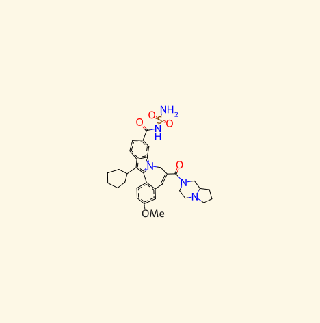 COc1ccc2c(c1)C=C(C(=O)N1CCN3CCCC3C1)Cn1c-2c(C2CCCCC2)c2ccc(C(=O)NS(N)(=O)=O)cc21